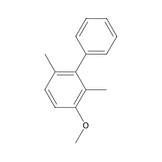 COc1ccc(C)c(-c2ccccc2)c1C